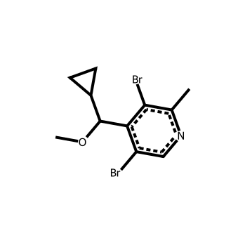 COC(c1c(Br)cnc(C)c1Br)C1CC1